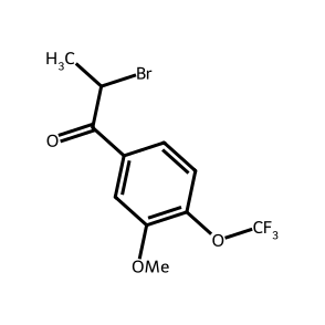 COc1cc(C(=O)C(C)Br)ccc1OC(F)(F)F